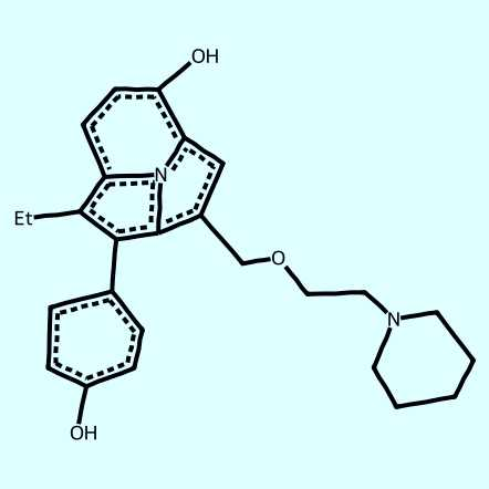 CCc1c(-c2ccc(O)cc2)c2c(COCCN3CCCCC3)cc3c(O)ccc1n32